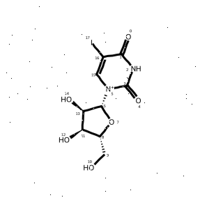 O=C1NC(=O)[N+]([C@@H]2O[C@H](CO)[C@@H](O)[C@H]2O)C=C1I